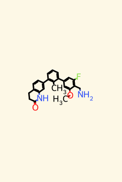 COc1cc(-c2cccc(-c3ccc4c(c3)NC(=O)CC4)c2C)cc(F)c1CN